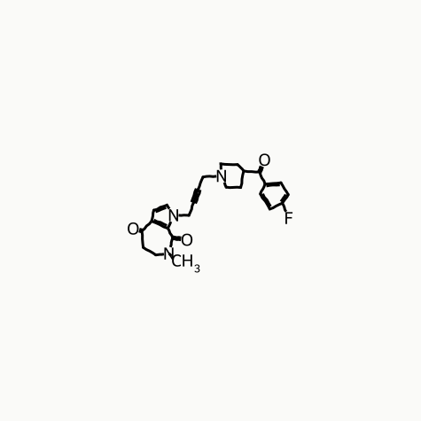 CN1CCC(=O)c2ccn(CC#CCN3CCC(C(=O)c4ccc(F)cc4)CC3)c2C1=O